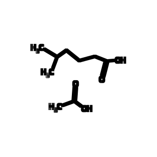 CC(=O)O.CC(C)CCCC(=O)O